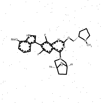 COc1cccc2c(-c3c(F)cc4c(N5C[C@H]6CC[C@@H](C5)N6)nc(OC[C@@H]5CCCN5C)nc4c3F)c[nH]c12